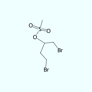 CS(=O)(=O)OC(CBr)CCBr